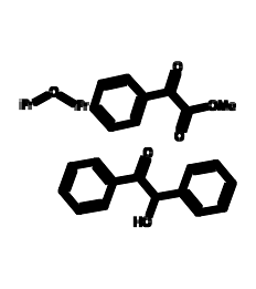 CC(C)OC(C)C.COC(=O)C(=O)c1ccccc1.O=C(c1ccccc1)C(O)c1ccccc1